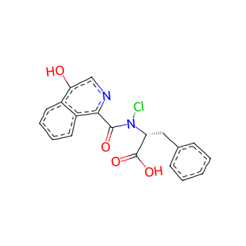 O=C(O)[C@@H](Cc1ccccc1)N(Cl)C(=O)c1ncc(O)c2ccccc12